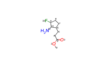 COC(=O)CCC1CCC(F)C1N